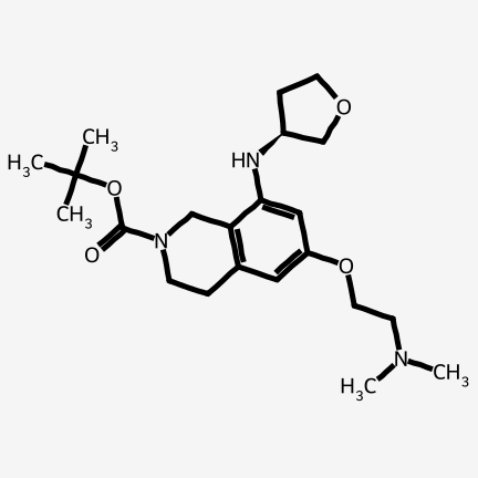 CN(C)CCOc1cc2c(c(N[C@H]3CCOC3)c1)CN(C(=O)OC(C)(C)C)CC2